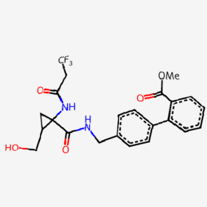 COC(=O)c1ccccc1-c1ccc(CNC(=O)C2(NC(=O)CC(F)(F)F)CC2CO)cc1